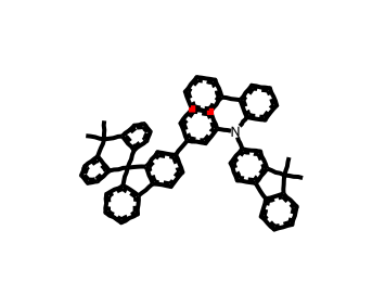 CC1(C)c2ccccc2-c2ccc(N(c3cccc(-c4ccc5c(c4)C4(c6ccccc6-5)c5ccccc5C(C)(C)c5ccccc54)c3)c3ccccc3-c3ccccc3)cc21